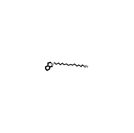 CC(C)CCCCCCCCCCCCCCC[n+]1ccc2ccccc2c1